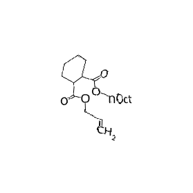 C=CCOC(=O)C1CCCCC1C(=O)OCCCCCCCC